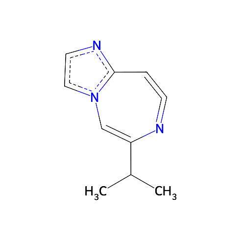 CC(C)C1=Cn2ccnc2C=C=N1